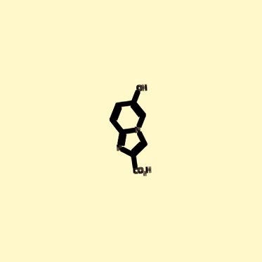 O=C(O)c1cn2cc(O)ccc2n1